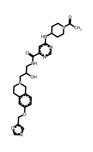 CC(=O)N1CCC(Nc2cc(C(=O)NCC(O)CN3CCc4cc(OCc5cnco5)ccc4C3)ncn2)CC1